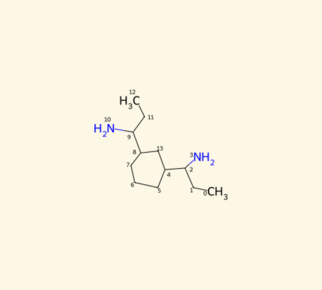 CCC(N)C1CCCC(C(N)CC)C1